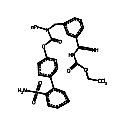 CCCN(Cc1cccc(C(=N)NC(=O)OCC(Cl)(Cl)Cl)c1)C(=O)Oc1ccc(-c2ccccc2S(N)(=O)=O)cc1